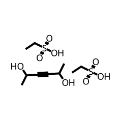 CC(O)C#CC(C)O.CCS(=O)(=O)O.CCS(=O)(=O)O